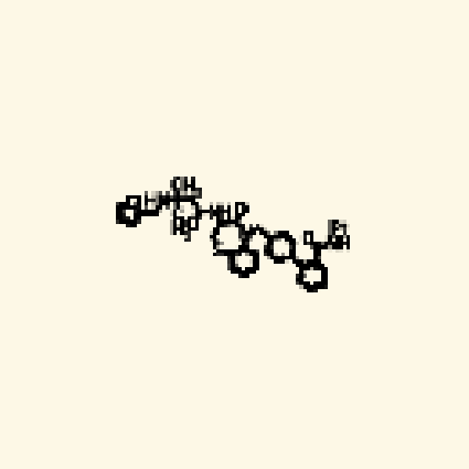 CCNC(=O)c1ccccc1-c1ccc(CN2C(=O)C(NC(=O)CC(C)(C)NCc3ccco3)CSc3ccccc32)cc1